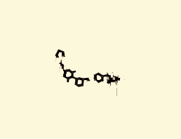 Cc1cc(OCCn2cccc2)cc(C)c1-c1cccc(COc2ccc(Cn3oc(=O)[nH]c3=O)cc2)c1